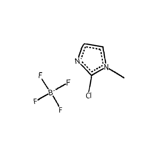 Cn1ccnc1Cl.F[B-](F)(F)F